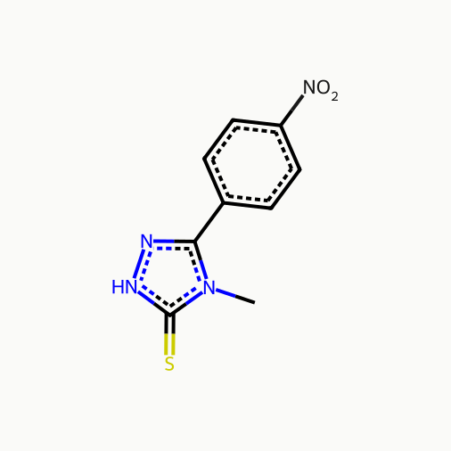 Cn1c(-c2ccc([N+](=O)[O-])cc2)n[nH]c1=S